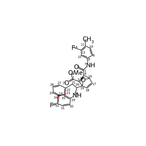 COC(=O)C1=C(C(=O)Nc2ccc(C)c(F)c2)C2C=CC1(C(Cc1ccccc1)Nc1ccc(F)cc1)O2